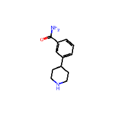 NC(=O)c1cccc(C2CCNCC2)c1